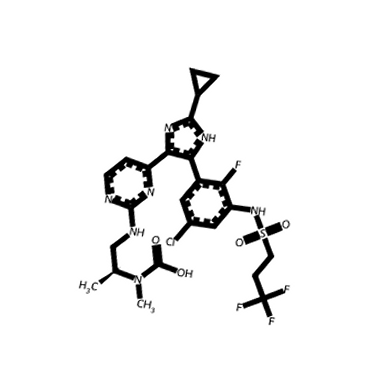 C[C@@H](CNc1nccc(-c2nc(C3CC3)[nH]c2-c2cc(Cl)cc(NS(=O)(=O)CCC(F)(F)F)c2F)n1)N(C)C(=O)O